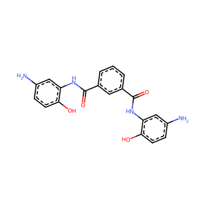 Nc1ccc(O)c(NC(=O)c2cccc(C(=O)Nc3cc(N)ccc3O)c2)c1